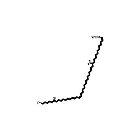 CCCCC/C=C\CC=CCCCCCCCC(CCCCCCCCCCCCCC/C=C\CC=CCCCCCCCC(N)CCCCCC(C)C)N(C)C